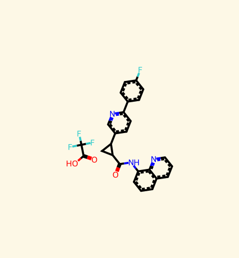 O=C(Nc1cccc2cccnc12)C1CC1c1ccc(-c2ccc(F)cc2)nc1.O=C(O)C(F)(F)F